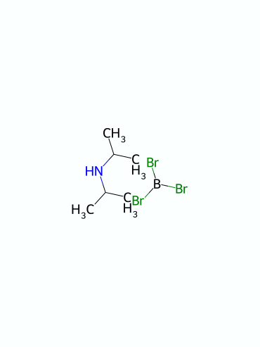 BrB(Br)Br.CC(C)NC(C)C